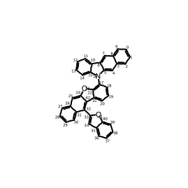 c1ccc2cc3c(cc2c1)c1ccccc1n3-c1cccc2c1oc1cc3ccccc3c(-c3cc4ccccc4o3)c12